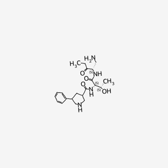 CCC(=O)[C@H](CN)NC(=O)[C@@H](NC(=O)C1CNCC(c2ccccc2)C1)[C@H](C)O